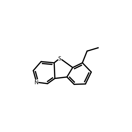 CCc1cccc2c1sc1ccncc12